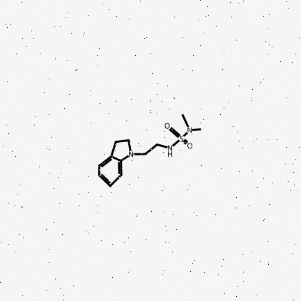 CN(C)S(=O)(=O)NCCN1CCc2ccccc21